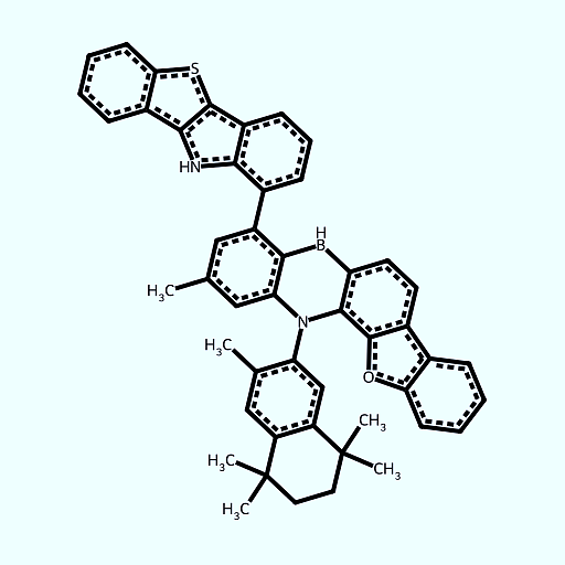 Cc1cc(-c2cccc3c2[nH]c2c4ccccc4sc32)c2c(c1)N(c1cc3c(cc1C)C(C)(C)CCC3(C)C)c1c(ccc3c1oc1ccccc13)B2